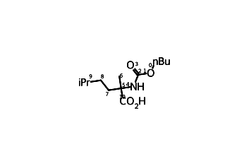 CCCCOC(=O)NC(C)(CCC(C)C)C(=O)O